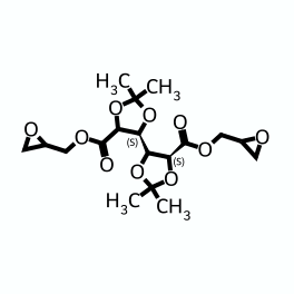 CC1(C)OC(C(=O)OCC2CO2)[C@H](C2OC(C)(C)O[C@@H]2C(=O)OCC2CO2)O1